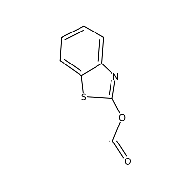 O=[C]Oc1nc2ccccc2s1